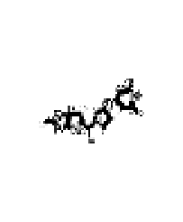 Cc1cc(O[C@@H]2CCN([C@@H](C)c3ccc4sc(C)nc4n3)C2)cc(C)n1